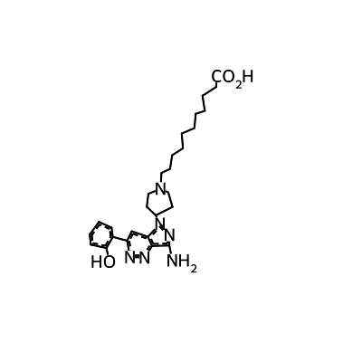 Nc1nn(C2CCN(CCCCCCCCCCC(=O)O)CC2)c2cc(-c3ccccc3O)nnc12